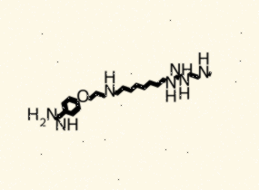 CNCCNC(=N)NCCCCCCCCNCCCOc1ccc(C(=N)N)cc1